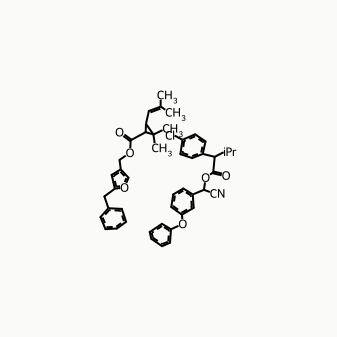 CC(C)=CC1C(C(=O)OCc2coc(Cc3ccccc3)c2)C1(C)C.CC(C)C(C(=O)OC(C#N)c1cccc(Oc2ccccc2)c1)c1ccc(Cl)cc1